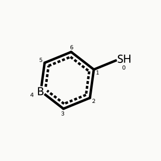 Sc1ccbcc1